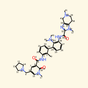 Cc1c(NC(=O)c2cc(CN3CCCC3)cn(C)c2=O)cccc1-c1cccc(NC(=O)c2nc3c(n2C)CCN(C)C3)c1N(C)C